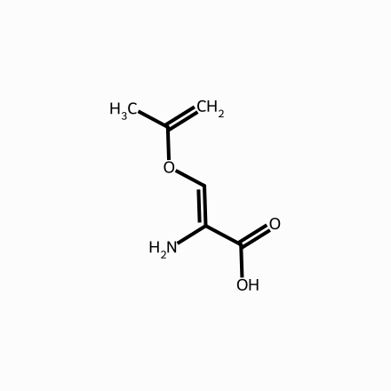 C=C(C)O/C=C(\N)C(=O)O